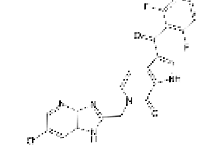 O=C(c1c(F)cccc1F)c1c[nH]c2c(=O)n(CC3=NC4N=CC(Cl)=CC4N3)ccc12